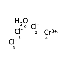 O.[Cl-].[Cl-].[Cl-].[Cr+3]